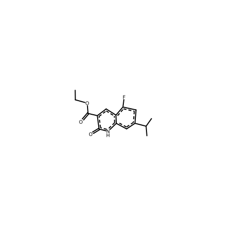 CCOC(=O)c1cc2c(F)cc(C(C)C)cc2[nH]c1=O